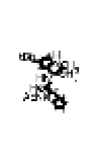 CC(=O)N[C@@H](Cc1ccccc1)[C@H](O)CN[C@H]1CC(C)(C)Nc2ccc(CC(C)(C)C)cc21